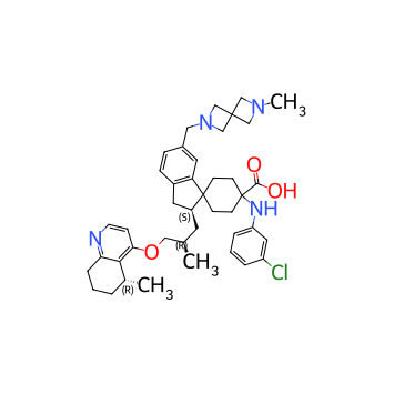 C[C@@H](COc1ccnc2c1[C@H](C)CCC2)C[C@H]1Cc2ccc(CN3CC4(CN(C)C4)C3)cc2C12CCC(Nc1cccc(Cl)c1)(C(=O)O)CC2